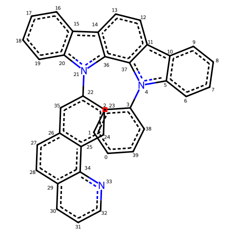 c1ccc(-n2c3ccccc3c3ccc4c5ccccc5n(-c5ccc6c(ccc7cccnc76)c5)c4c32)cc1